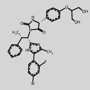 Cc1nc([C@H]([C@@H](C)c2ccccc2)N2C(=O)N[C@H](c3ccc(OC(CO)CO)cc3)C2=O)[nH]c1-c1ccc(Br)cc1F